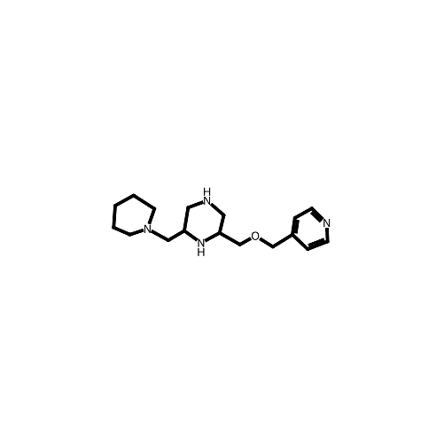 c1cc(COCC2CNCC(CN3CCCCC3)N2)ccn1